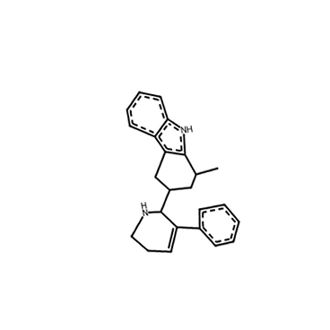 CC1CC(C2NCCC=C2c2ccccc2)Cc2c1[nH]c1ccccc21